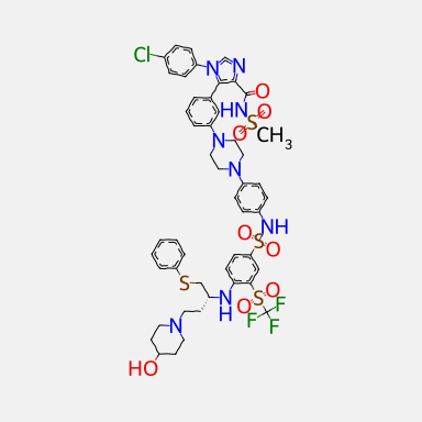 CS(=O)(=O)NC(=O)c1ncn(-c2ccc(Cl)cc2)c1-c1cccc(N2CCN(c3ccc(NS(=O)(=O)c4ccc(N[C@H](CCN5CCC(O)CC5)CSc5ccccc5)c(S(=O)(=O)C(F)(F)F)c4)cc3)CC2)c1